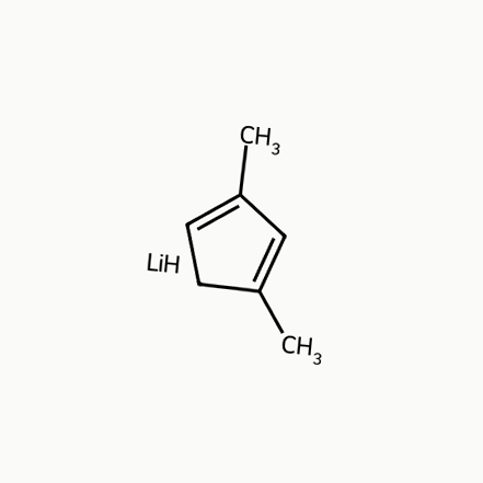 CC1=CCC(C)=C1.[LiH]